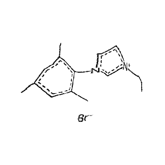 CC[n+]1ccn(-c2c(C)cc(C)cc2C)c1.[Br-]